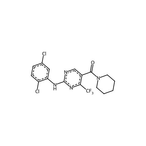 O=C(c1cnc(Nc2cc(Cl)ccc2Cl)nc1C(F)(F)F)N1CCCCC1